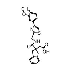 COc1cccc(-c2csc(CNC(=O)C3(CC(=O)O)Cc4ccccc4C3)n2)c1